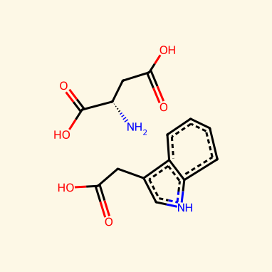 N[C@@H](CC(=O)O)C(=O)O.O=C(O)Cc1c[nH]c2ccccc12